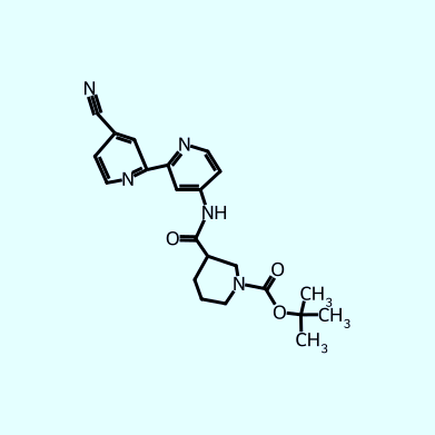 CC(C)(C)OC(=O)N1CCCC(C(=O)Nc2ccnc(-c3cc(C#N)ccn3)c2)C1